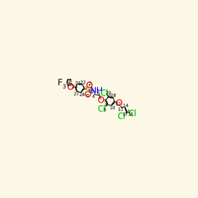 O=S(=O)(NCCOc1c(Cl)cc(OCC=C(Cl)Cl)cc1Cl)c1ccc(OC(F)(F)F)cc1